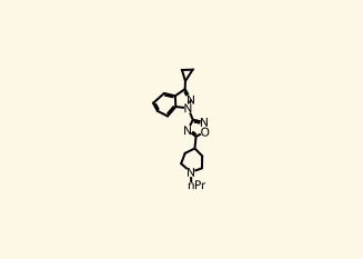 CCCN1CCC(c2nc(-n3nc(C4CC4)c4ccccc43)no2)CC1